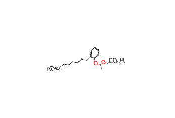 CCCCCCCCCCCCCCCCc1ccccc1OC(C)OCC(=O)O